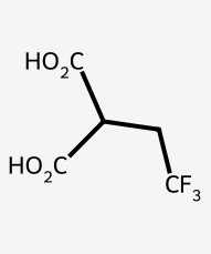 O=C(O)C(CC(F)(F)F)C(=O)O